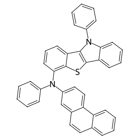 c1ccc(N(c2ccc3c(ccc4ccccc43)c2)c2cccc3c2sc2c4ccccc4n(-c4ccccc4)c32)cc1